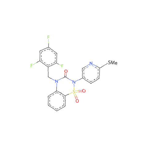 CSc1ccc(N2C(=O)N(Cc3c(F)cc(F)cc3F)c3ccccc3S2(=O)=O)cn1